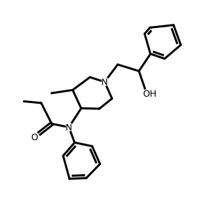 CCC(=O)N(c1ccccc1)C1CCN(CC(O)c2ccccc2)CC1C